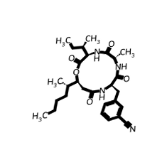 CCCC[C@H](C)[C@@H]1CC(=O)N[C@H](Cc2cccc(C#N)c2)C(=O)N[C@@H](C)C(=O)N[C@H]([C@H](C)CC)C(=O)O1